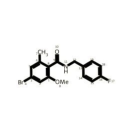 COc1cc(Br)cc(C)c1C(=O)NCc1ccc(F)cc1